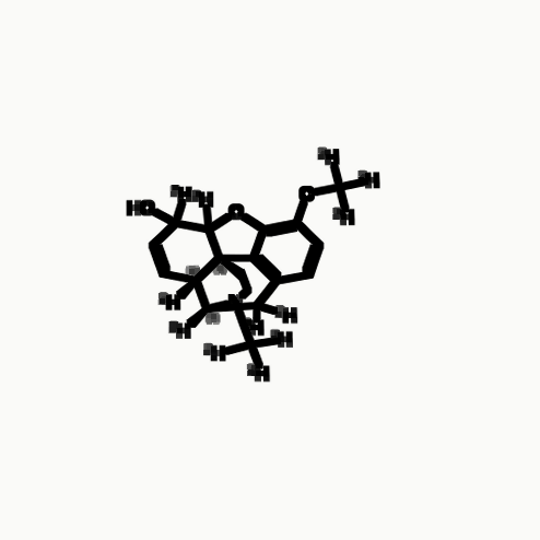 [2H]C([2H])([2H])Oc1ccc2c3c1OC1([2H])C([2H])(O)C=C[C@]4([2H])[C@@]31CCN(C([2H])([2H])[2H])[C@]4([2H])C2([2H])[2H]